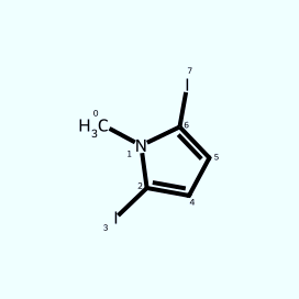 Cn1c(I)ccc1I